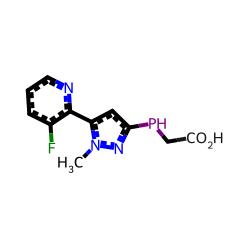 Cn1nc(PCC(=O)O)cc1-c1ncccc1F